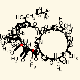 C=C(NC(=O)C(=C)NC(=O)c1csc(C2=N[C@@H]3c4csc(n4)[C@H]4NC(=O)c5csc(n5)[C@H]([C@](C)(O)[C@@H](C)O)NC(=O)[C@H]5CSC(=N5)/C(=C/C)NC(=O)[C@H]([C@@H](C)O)NC(=O)c5csc(n5)[C@]3(CC2)NC(=O)[C@H](C)NC(=O)C(=C)NC(=O)[C@H](C)NC(=O)[C@H]([C@@H](C)CC)N[C@@H]2C=Cc3c([C@H](C)O)cc(nc3[C@H]2O)C(=O)O[C@@H]4C)n1)C(N)=O.O=[SH](=O)c1nccs1